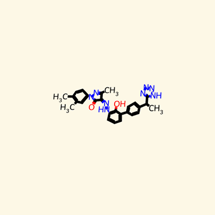 CC1=NN(c2ccc(C)c(C)c2)C(=O)C1=NNc1cccc(-c2ccc(C(C)c3nnn[nH]3)cc2)c1O